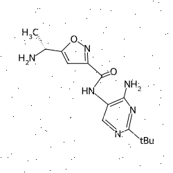 C[C@@H](N)c1cc(C(=O)Nc2cnc(C(C)(C)C)nc2N)no1